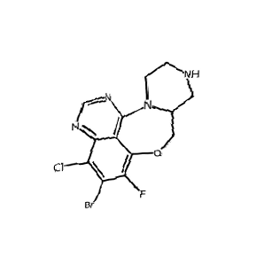 Fc1c(Br)c(Cl)c2ncnc3c2c1OCC1CNCCN31